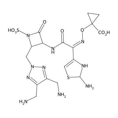 NCc1nn(CC2C(NC(=O)/C(=N\OC3(C(=O)O)CC3)C3=CSC(N)N3)C(=O)N2S(=O)(=O)O)nc1CN